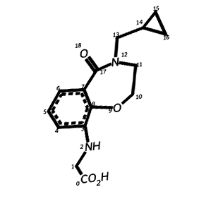 O=C(O)CNc1cccc2c1OCCN(CC1CC1)C2=O